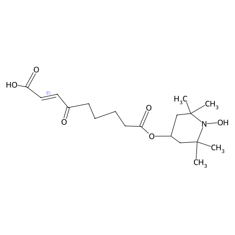 CC1(C)CC(OC(=O)CCCCC(=O)/C=C/C(=O)O)CC(C)(C)N1O